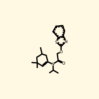 CC1CC(N(C(=O)COc2nc3ccccc3s2)C(C)C)=CC(C)(C)C1